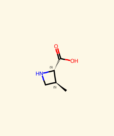 C[C@H]1CN[C@@H]1C(=O)O